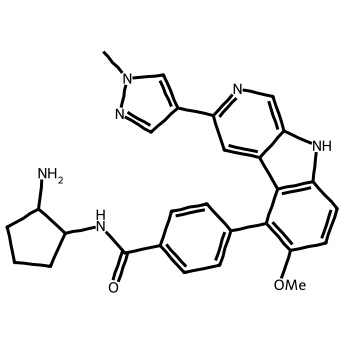 COc1ccc2[nH]c3cnc(-c4cnn(C)c4)cc3c2c1-c1ccc(C(=O)NC2CCCC2N)cc1